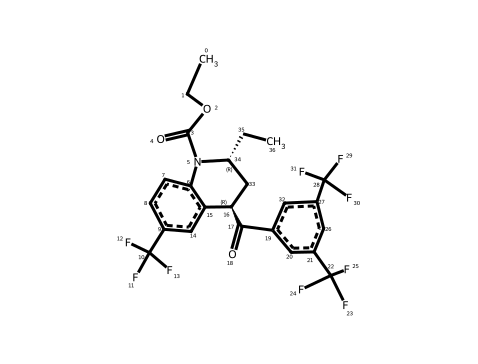 CCOC(=O)N1c2ccc(C(F)(F)F)cc2[C@H](C(=O)c2cc(C(F)(F)F)cc(C(F)(F)F)c2)C[C@H]1CC